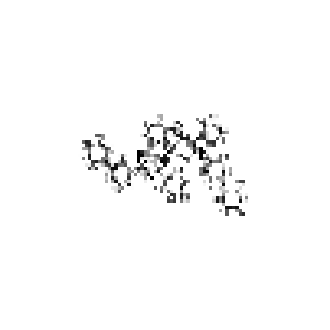 C1=CC2c3c(cccc3-c3nc(-c4ccccc4)nc(-c4cccc(-c5ccccc5)c4)n3)OC2c2c1n(-c1ccc(-c3ccccc3)cc1)c1ccccc21